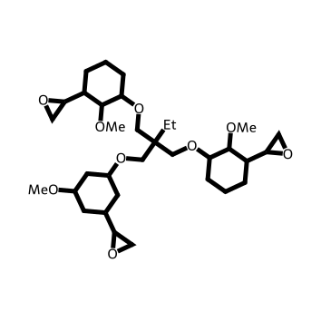 CCC(COC1CC(OC)CC(C2CO2)C1)(COC1CCCC(C2CO2)C1OC)COC1CCCC(C2CO2)C1OC